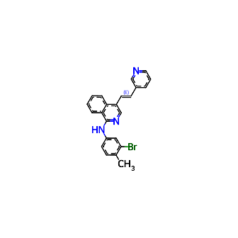 Cc1ccc(Nc2ncc(/C=C/c3cccnc3)c3ccccc23)cc1Br